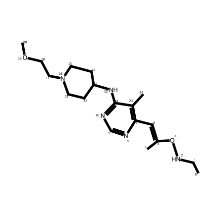 CCNO/C(C)=C/c1ncnc(NC2CCN(CCOC)CC2)c1C